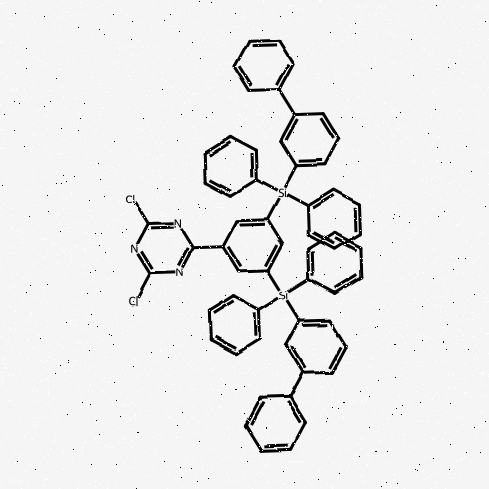 Clc1nc(Cl)nc(-c2cc([Si](c3ccccc3)(c3ccccc3)c3cccc(-c4ccccc4)c3)cc([Si](c3ccccc3)(c3ccccc3)c3cccc(-c4ccccc4)c3)c2)n1